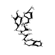 Nc1ccc(CNC(=O)[C@H](Cc2ccc(F)c(F)c2)NC(=O)CN2CCc3ccccc3C2)cn1